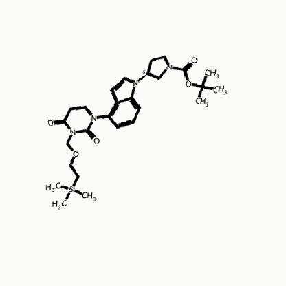 CC(C)(C)OC(=O)N1CC[C@H](n2ccc3c(N4CCC(=O)N(COCC[Si](C)(C)C)C4=O)cccc32)C1